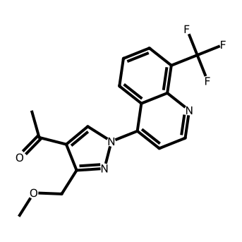 COCc1nn(-c2ccnc3c(C(F)(F)F)cccc23)cc1C(C)=O